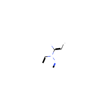 C=CN(N=C)/C(N)=C/CCC